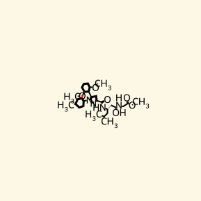 COC(=O)CNC(O)C[C@H](CC(C)C)NC(=O)c1cc(-c2c(OC)cccc2OC)n(-c2ccc(C)cc2)n1